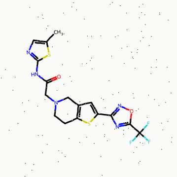 Cc1cnc(NC(=O)CN2CCc3sc(-c4noc(C(F)(F)F)n4)cc3C2)s1